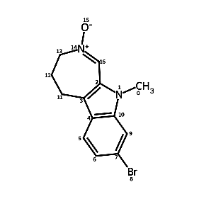 Cn1c2c(c3ccc(Br)cc31)CCC[N+]([O-])=C2